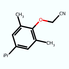 Cc1cc(C(C)C)cc(C)c1OCC#N